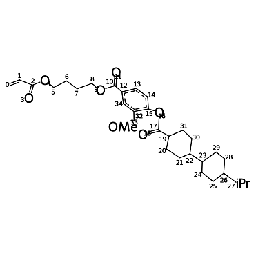 C=CC(=O)OCCCCOC(=O)c1ccc(OC(=O)C2CCC(C3CCC(C(C)C)CC3)CC2)c(OC)c1